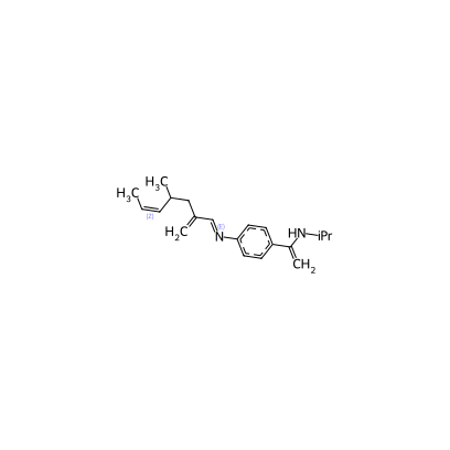 C=C(/C=N/c1ccc(C(=C)NC(C)C)cc1)CC(C)/C=C\C